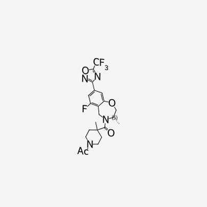 CC(=O)N1CCC(C)(C(=O)N2Cc3c(F)cc(-c4noc(C(F)(F)F)n4)cc3OC[C@@H]2C)CC1